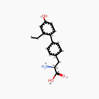 CCc1cc(O)ccc1-c1ccc(C[C@H](N)C(=O)O)cc1